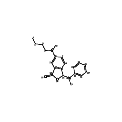 CCCCN(C)c1ccc2c(c1)C(=O)OC2N(C)c1ccccc1